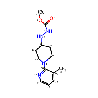 CC(C)(C)OC(=O)NNC1CCN(c2ncccc2C(F)(F)F)CC1